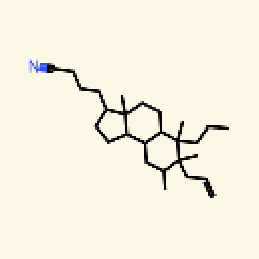 C=CCC1(C)C(C)CC2C3CCC(CCCC#N)C3(C)CCC2C1(C)CCC